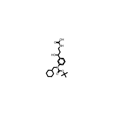 CC(C)(C)OC(=O)N(CC1CCCCC1)c1cccc(C(O)CCNC(=O)O)c1